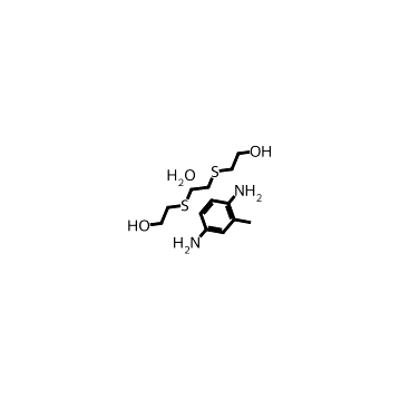 Cc1cc(N)ccc1N.O.OCCSCCSCCO